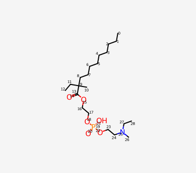 CCCCCCCCCC(C)(CC)C(=O)OCCOP(=O)(O)OCCN(C)CC